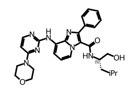 CC(C)C[C@@H](CO)NC(=O)c1c(-c2ccccc2)nc2c(Nc3nccc(N4CCOCC4)n3)cccn12